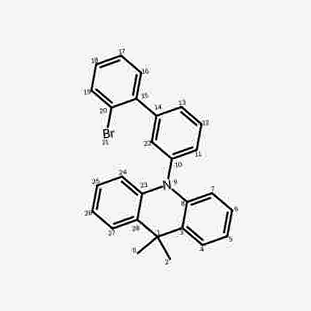 CC1(C)c2ccccc2N(c2cccc(-c3ccccc3Br)c2)c2ccccc21